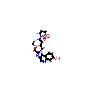 CCOCc1nc2cnc3cc(O)ccc3c2n1CCCCN1CCCS1(=O)=O